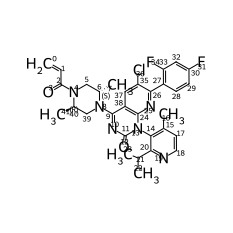 C=CC(=O)N1C[C@H](C)N(c2nc(=O)n(-c3c(C)ccnc3C(C)C)c3nc(-c4ccc(F)cc4F)c(Cl)cc23)C[C@H]1C